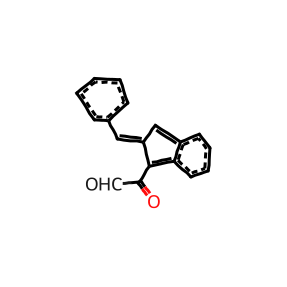 O=CC(=O)C1=c2ccccc2=CC1=Cc1ccccc1